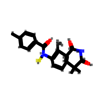 Cc1ccc(C(=O)N(S)c2ccc3c(c2[N+](=O)[O-])C(=O)NC(=O)C3(C)C)cc1